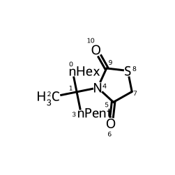 CCCCCCC(C)(CCCCC)N1C(=O)CSC1=O